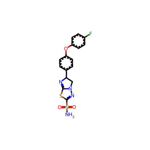 NS(=O)(=O)C1=NN2CC(c3ccc(Oc4ccc(F)cc4)cc3)N=C2S1